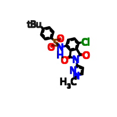 Cn1ccc(N2C(=O)c3c(Cl)ccc(NS(=O)(=O)c4ccc(C(C)(C)C)cc4)c3C2=O)n1